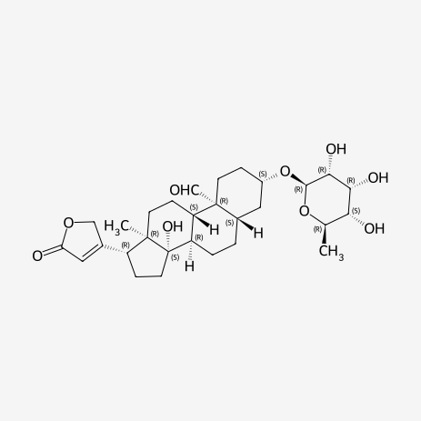 C[C@H]1O[C@@H](O[C@H]2CC[C@@]3(C=O)[C@@H](CC[C@@H]4[C@@H]3CC[C@]3(C)[C@@H](C5=CC(=O)OC5)CC[C@]43O)C2)[C@H](O)[C@H](O)[C@@H]1O